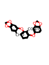 CCOC(=O)c1c(Oc2ccc3c(c2)OCO3)cccc1Oc1cc2c(cc1C=O)OCO2